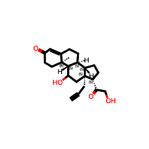 C#CC[C@]12CC(O)[C@H]3[C@@H](CCC4=CC(=O)CC[C@@]43C)[C@@H]1CC[C@@H]2C(=O)CO